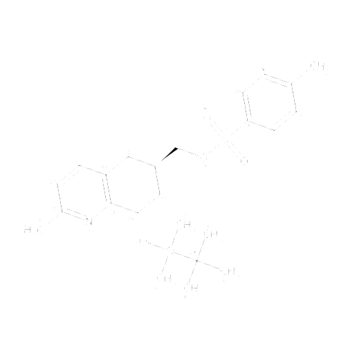 Cc1ccc(S(=O)(=O)OC[C@@H]2Cc3ccc(C)nc3[C@@H](O[Si](C)(C)C(C)(C)C)C2)cc1